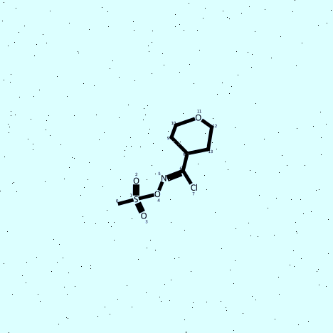 CS(=O)(=O)O/N=C(\Cl)C1CCOCC1